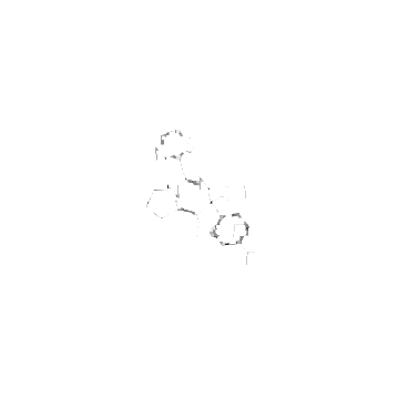 CCOC(=O)C1=C2CCCN2C(c2nccs2)=NC1(C)c1ccc(F)cc1